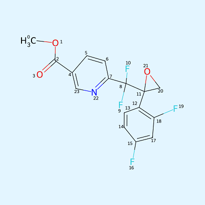 COC(=O)c1ccc(C(F)(F)C2(c3ccc(F)cc3F)CO2)nc1